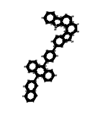 c1ccc2cc(-c3c4ccccc4c(-c4ccc(-c5ccc6c(c5)sc5ccc7ccc8c9ccccc9oc8c7c56)cc4)c4ccccc34)ccc2c1